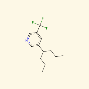 CCCC(CCC)c1cncc(C(F)(F)F)c1